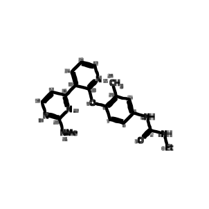 CCNC(=O)Nc1ccc(Oc2ncccc2-c2ccnc(NC)n2)c(C)c1